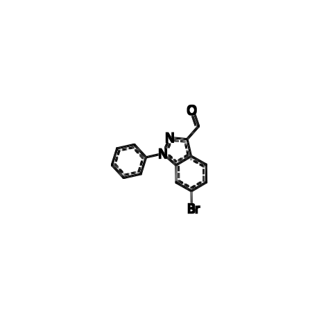 O=Cc1nn(-c2ccccc2)c2cc(Br)ccc12